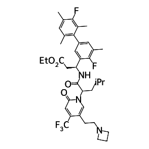 CCOC(=O)C[C@H](NC(=O)C(CC(C)C)n1cc(CCN2CCC2)c(C(F)(F)F)cc1=O)c1cc(-c2c(C)cc(C)c(F)c2C)cc(C)c1F